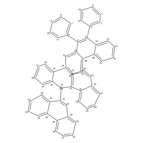 c1ccc(-c2c(-c3ccccc3)c3cc(-c4ccccc4N(c4cccc5ccccc45)c4cc5ccccc5c5ccccc45)ccc3c3ccccc23)cc1